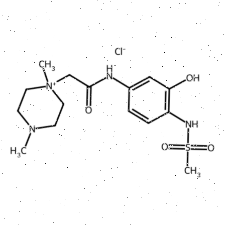 CN1CC[N+](C)(CC(=O)Nc2ccc(NS(C)(=O)=O)c(O)c2)CC1.[Cl-]